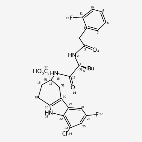 CCC(C)[C@H](NC(=O)Cc1ccccc1F)C(=O)N[C@]1(C(=O)O)CCc2[nH]c3c(Cl)cc(F)cc3c2C1